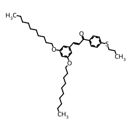 CCCCCCCCCCOc1cc(C=CC(=O)c2ccc(SCCC)cc2)cc(OCCCCCCCCCC)c1